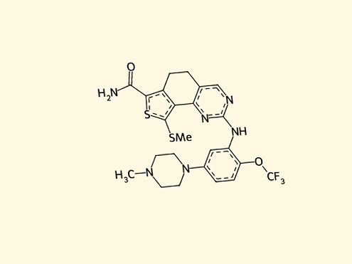 CSc1sc(C(N)=O)c2c1-c1nc(Nc3cc(N4CCN(C)CC4)ccc3OC(F)(F)F)ncc1CC2